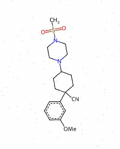 COc1cccc(C2(C#N)CCC(N3CCN(S(C)(=O)=O)CC3)CC2)c1